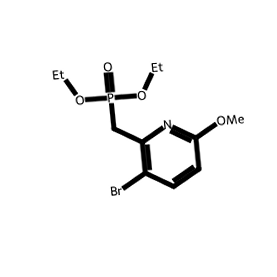 CCOP(=O)(Cc1nc(OC)ccc1Br)OCC